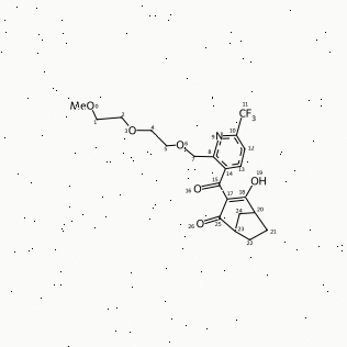 COCCOCCOCc1nc(C(F)(F)F)ccc1C(=O)C1=C(O)C2CCC(C2)C1=O